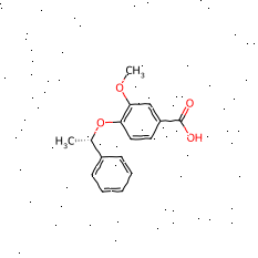 COc1cc(C(=O)O)ccc1O[C@@H](C)c1ccccc1